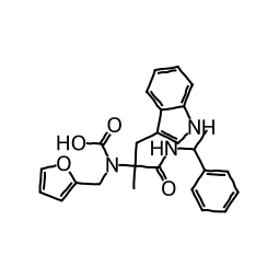 CC(NC(=O)C(C)(Cc1c[nH]c2ccccc12)N(Cc1ccco1)C(=O)O)c1ccccc1